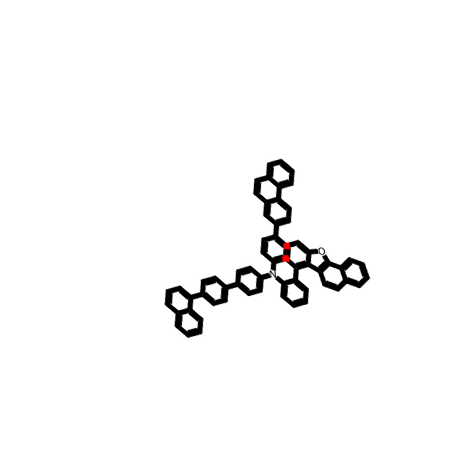 c1ccc(N(c2ccc(-c3ccc(-c4cccc5ccccc45)cc3)cc2)c2ccc(-c3ccc4c(ccc5ccccc54)c3)cc2)c(-c2cccc3oc4c5ccccc5ccc4c23)c1